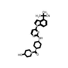 CC(C)(C#N)c1cccc2c1ccn2-c1ccnc(N[C@H]2CC[C@H](C(=O)N3CCC(O)CC3)CC2)n1